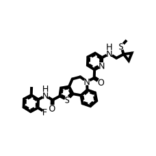 CSC1(CNc2cccc(C(=O)N3CCc4cc(C(=O)Nc5c(C)cccc5F)sc4-c4ccccc43)n2)CC1